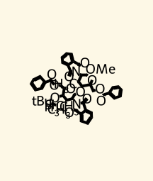 CO[C@H]1OC(COC(=O)c2ccccc2)[C@H](OC2OC(COC(=O)c3ccccc3)C(O[Si](C)(C)C(C)(C)C)[C@H](C)[C@@H]2N2C(=O)c3ccccc3C2=O)C(C)[C@H]1N1C(=O)c2ccccc2C1=O